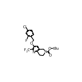 CC(C)(C)OC(=O)N1CCc2nc(C(F)(F)F)c(OCc3ccc(Cl)cc3F)cc2C1